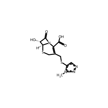 Cn1nncc1SCC1=C(C(=O)O)N2C(=O)[C@@H](O)[C@@H]2SC1